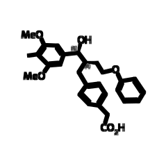 COc1cc([C@@H](O)[C@@H](CCOc2ccccc2)Cc2ccc(CC(=O)O)cc2)cc(OC)c1C